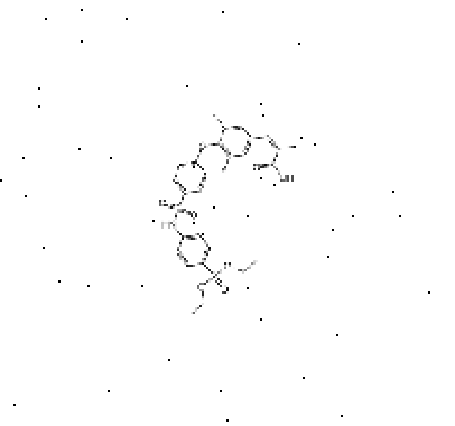 CCOP(=O)(OCC)c1ccc(NS(=O)(=O)c2ccc(Oc3c(F)cc(C=C(C)C(=O)O)cc3F)cc2)cc1